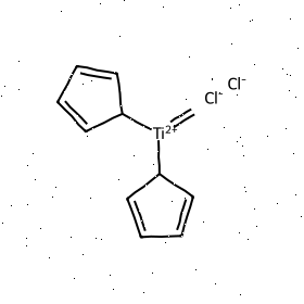 [CH2]=[Ti+2]([CH]1C=CC=C1)[CH]1C=CC=C1.[Cl-].[Cl-]